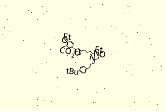 CCOc1ccc(-c2cccc(CCCC3=NC(CCCc4ccc(C(C)(C)C)cc4)CC(=O)N3CC)c2)cc1CC(=O)O